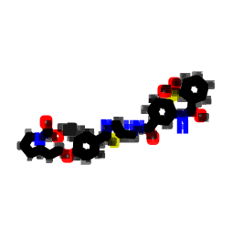 CC(C)(C)OC(=O)N1CCCC1CCOc1ccc(-c2ncc(CNC(=O)c3ccc4c(c3)NC(=O)c3ccccc3S4(=O)=O)s2)cc1